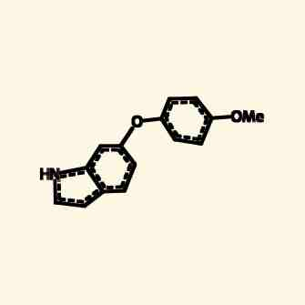 COc1ccc(Oc2ccc3cc[nH]c3c2)cc1